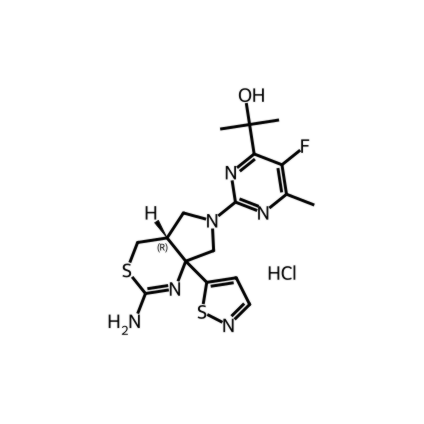 Cc1nc(N2C[C@H]3CSC(N)=NC3(c3ccns3)C2)nc(C(C)(C)O)c1F.Cl